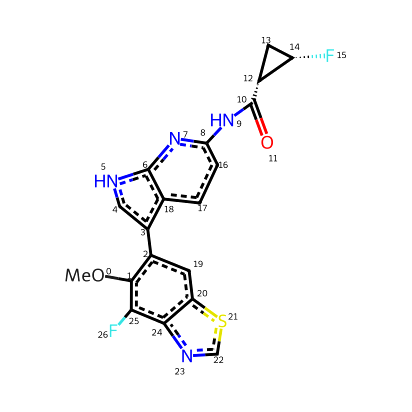 COc1c(-c2c[nH]c3nc(NC(=O)[C@@H]4C[C@@H]4F)ccc23)cc2scnc2c1F